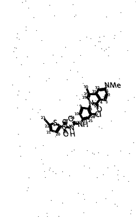 CNc1ccc2c(=O)n(-c3ccc(NC(=O)NS(=O)(=O)c4ccc(C)s4)cc3Cl)cc(C)c2c1